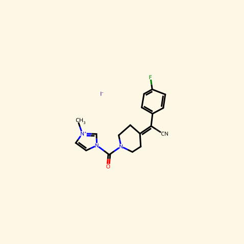 C[n+]1ccn(C(=O)N2CCC(=C(C#N)c3ccc(F)cc3)CC2)c1.[I-]